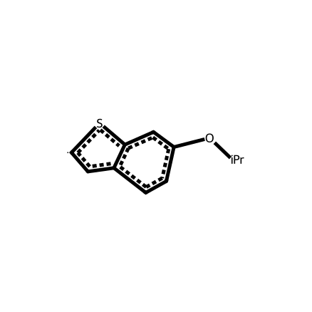 CC(C)Oc1ccc2c[c]sc2c1